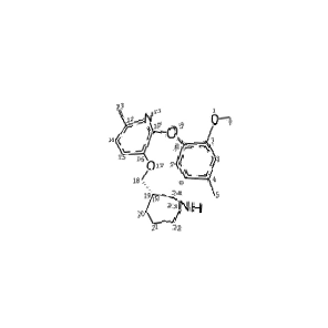 COc1cc(C)ccc1Oc1nc(C)ccc1OC[C@H]1CCCNC1